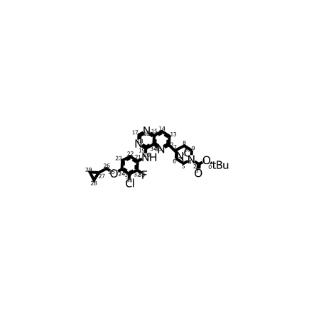 CC(C)(C)OC(=O)N1CC2CCC1CN2c1ccc2ncnc(Nc3ccc(OCC4CC4)c(Cl)c3F)c2n1